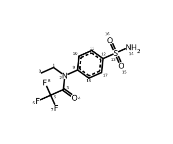 CCN(C(=O)C(F)(F)F)c1ccc(S(N)(=O)=O)cc1